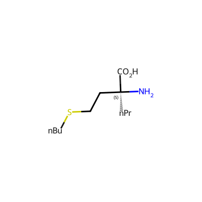 CCCCSCC[C@@](N)(CCC)C(=O)O